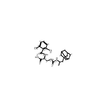 CC(CC12CC3CC(CC(C3)C1)C2)NC(=O)NC[C@H](NC(=O)c1c(Cl)cccc1Cl)C(=O)O